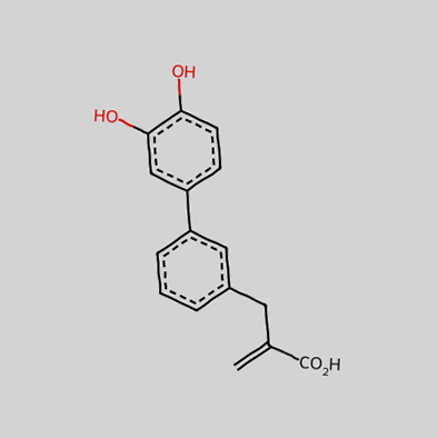 C=C(Cc1cccc(-c2ccc(O)c(O)c2)c1)C(=O)O